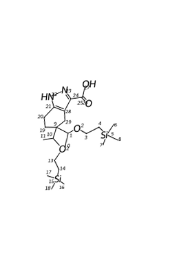 CC(OCC[Si](C)(C)C)C1(C(C)OCC[Si](C)(C)C)CCc2[nH]nc(C(=O)O)c2C1